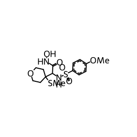 COc1ccc(S(=O)(=O)NC(C(=O)NO)C2(SC)CCOCC2)cc1